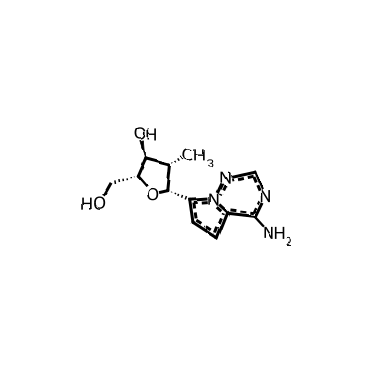 C[C@H]1[C@H](O)[C@@H](CO)O[C@H]1c1ccc2c(N)ncnn12